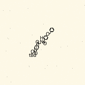 CC(C)(C)OC(=O)N1CCN(C(=O)CNC(=O)c2ccc(OCc3ccccc3)cc2)CC1